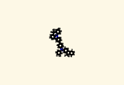 CC1(C)c2ccccc2-c2ccc(N(c3ccccc3)c3ccc(-c4ccc5c(c4)c4cccc6c4n5-c4ccccc4C6(C)C)cc3)cc21